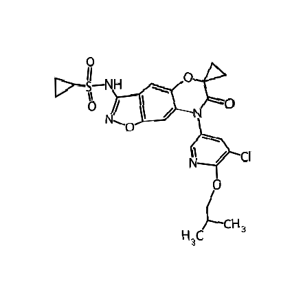 CC(C)COc1ncc(N2C(=O)C3(CC3)Oc3cc4c(NS(=O)(=O)C5CC5)noc4cc32)cc1Cl